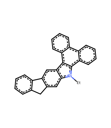 CCn1c2cc3c(cc2c2c4ccccc4c4ccccc4c21)-c1ccccc1C3